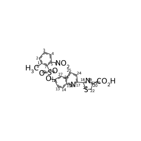 Cc1cccc([N+](=O)[O-])c1S(=O)(=O)Oc1ccc2nc(C3=N[C@@H](C(=O)O)CS3)ccc2c1